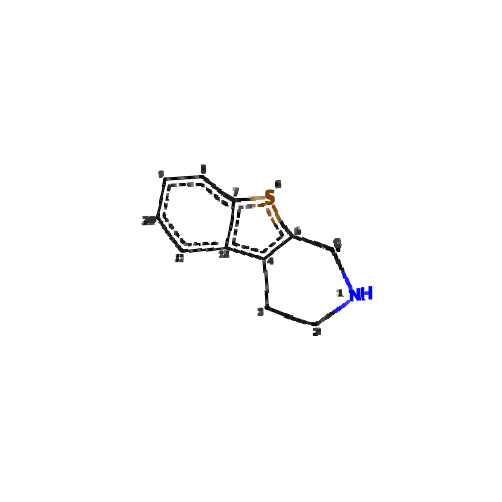 [CH]1NCCc2c1sc1ccccc21